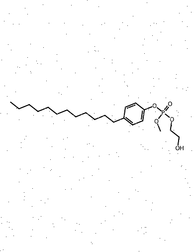 CCCCCCCCCCCCc1ccc(OP(=O)(OC)OCCO)cc1